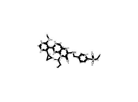 CC[C@@H](C)n1c(=O)c(NCc2ccc(S(=O)(=O)CC)nc2)nc2cnc(-c3c(OC)ncnc3C3CC3)nc21